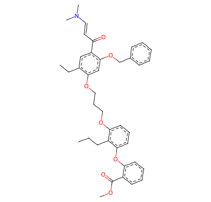 CCCc1c(OCCCOc2cc(OCc3ccccc3)c(C(=O)C=CN(C)C)cc2CC)cccc1Oc1ccccc1C(=O)OC